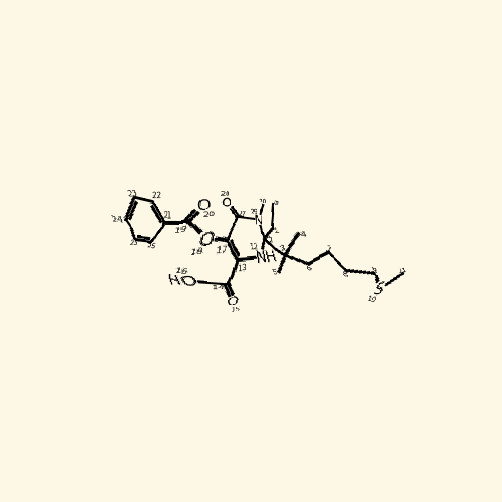 CCC1(C(C)(C)CCCCSC)NC(C(=O)O)=C(OC(=O)c2ccccc2)C(=O)N1C